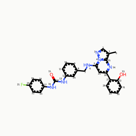 Cc1cnn2c(NCc3cccc(NC(=O)Nc4ccc(F)cc4)c3)cc(-c3ccccc3O)nc12